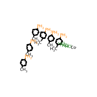 Cc1ccc(P)cc1.Cc1ccc(P)cc1.Cc1ccc(P)cc1.Cc1ccc(P)cc1.Cc1ccc(P)cc1.Cc1ccc(P)cc1.Cl.Cl.Cl.Cl.[Co]